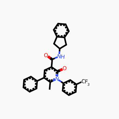 Cc1c(-c2ccccc2)cc(C(=O)NC2Cc3ccccc3C2)c(=O)n1-c1cccc(C(F)(F)F)c1